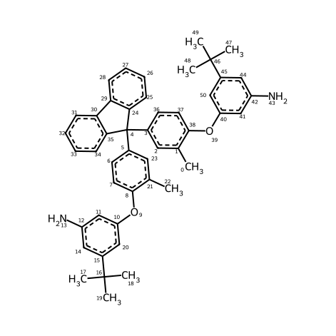 Cc1cc(C2(c3ccc(Oc4cc(N)cc(C(C)(C)C)c4)c(C)c3)c3ccccc3-c3ccccc32)ccc1Oc1cc(N)cc(C(C)(C)C)c1